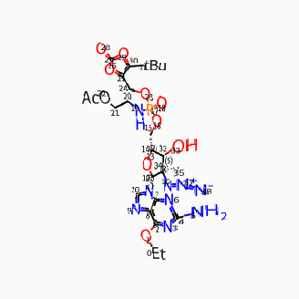 CCOc1nc(N)nc2c1ncn2[C@@H]1O[C@H](COP(=O)(NCCOC(C)=O)OCc2oc(=O)oc2C(C)(C)C)[C@@H](O)[C@@]1(C)N=[N+]=[N-]